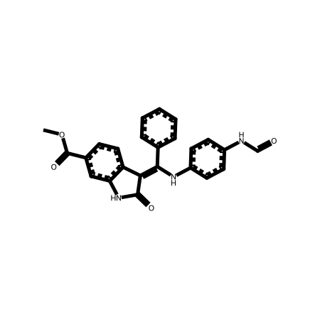 COC(=O)c1ccc2c(c1)NC(=O)/C2=C(\Nc1ccc(NC=O)cc1)c1ccccc1